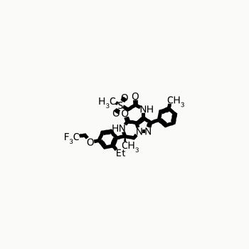 CCc1cc(OCC(F)(F)F)ccc1[C@@]1(C)Cn2nc(-c3cccc(C)c3)c(NC(=O)CS(C)(=O)=O)c2C(=O)N1